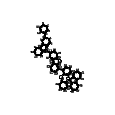 c1ccc(-c2ccc3c(c2)c2ccccc2n3-c2ccc3oc4c(-c5cccc6c5Oc5ccccc5[Si]6(c5ccccc5)c5ccccc5)cccc4c3c2)cc1